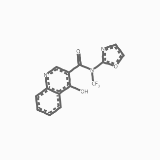 O=C(c1cnc2ccccc2c1O)N(c1ncco1)C(F)(F)F